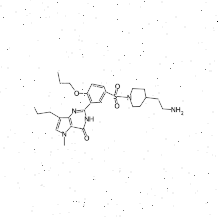 CCCOc1ccc(S(=O)(=O)N2CCC(CCN)CC2)cc1-c1nc2c(CCC)cn(C)c2c(=O)[nH]1